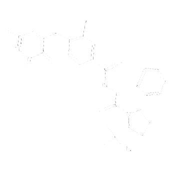 Cc1cc(Cc2ccc(C(=O)NCC(=O)N3[C@H](c4ccccc4)CC[C@@H]3C(C)(C)C#N)cc2C)c(=O)[nH]n1